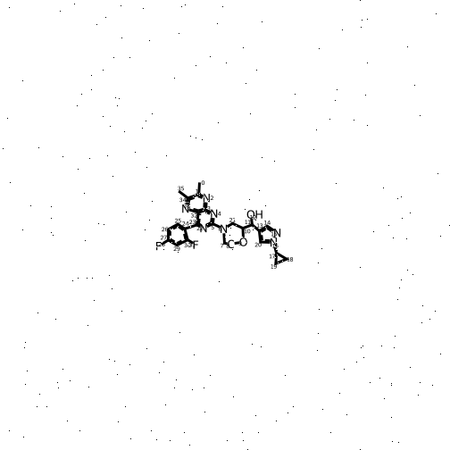 Cc1nc2nc(N3CCOC(C(O)c4cnn(C5CC5)c4)C3)nc(-c3ccc(F)cc3F)c2nc1C